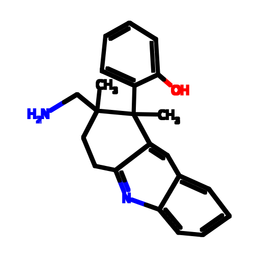 CC1(CN)CCc2nc3ccccc3cc2C1(C)c1ccccc1O